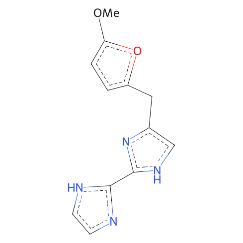 COc1ccc(Cc2c[nH]c(-c3ncc[nH]3)n2)o1